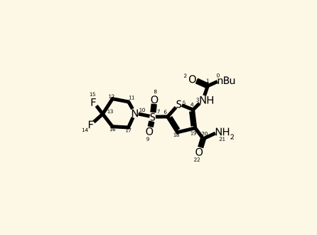 CCCCC(=O)Nc1sc(S(=O)(=O)N2CCC(F)(F)CC2)cc1C(N)=O